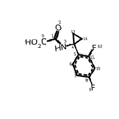 O=C(O)C(=O)NC1(c2ccc(F)cc2F)CC1